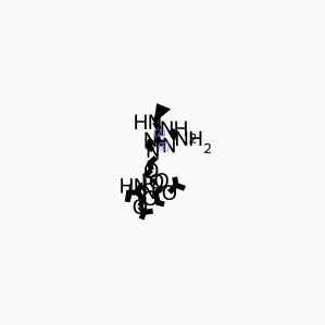 C=C(N)/N=C1\C(=C(/N)NC2CC2)N=CN1CCOCP(=O)(NC(CC)C(=O)OC(C)C)NC(CC)C(=O)OC(C)C